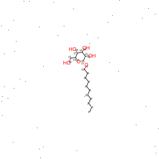 CCCCCCCCCCCO[C@@H]1OC(CO)[C@@H](O)C(O)C1O